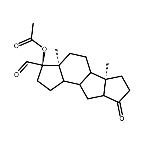 CC(=O)O[C@]1(C=O)CCC2C3CC4C(=O)CC[C@]4(C)C3CC[C@@]21C